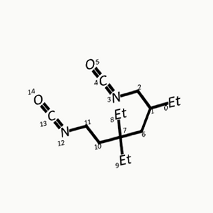 CCC(CN=C=O)CC(CC)(CC)CCN=C=O